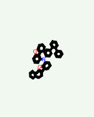 c1ccc(-c2ccccc2-c2ccc(N(c3cccc4c3oc3c5ccccc5ccc43)c3cccc4oc5ccccc5c34)cc2)cc1